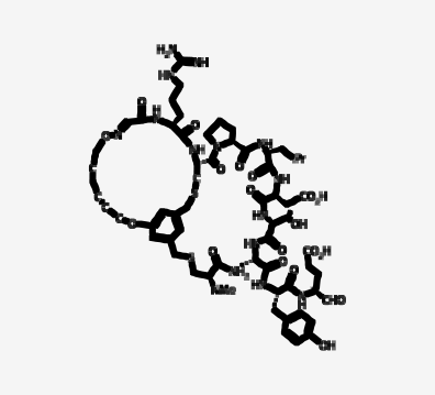 CN[C@@H](CSCc1cc2cc(c1)OCCCCCCO/N=C/C(=O)N[C@@H](CCCNC(=N)N)C(=O)N[C@H](C(=O)N1CCC[C@H]1C(=O)N[C@@H](CC(C)C)C(=O)N[C@@H](CC(=O)O)C(=O)N[C@H](C(=O)N[C@@H](C)C(=O)N[C@@H](Cc1ccc(O)cc1)C(=O)N[C@H](C=O)CCC(=O)O)[C@@H](C)O)CSC2)C(N)=O